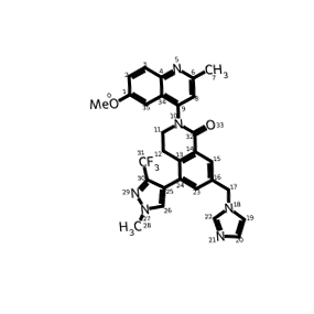 COc1ccc2nc(C)cc(N3CCc4c(cc(Cn5ccnc5)cc4-c4cn(C)nc4C(F)(F)F)C3=O)c2c1